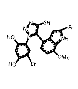 CCc1cc(-n2nnc(S)c2-c2ccc(OC)c3[nH]c(C(C)C)cc23)c(O)cc1O